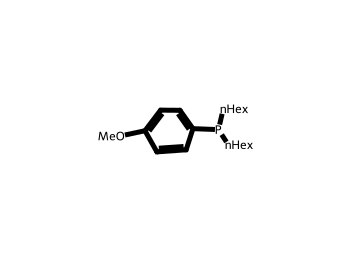 CCCCCCP(CCCCCC)c1ccc(OC)cc1